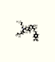 CCCO/N=C(\C(=O)NC1C(=O)N2C(C(=O)OCc3ccc([N+](=O)[O-])cc3)=C(O)CS[C@H]12)c1csc(NC=O)n1